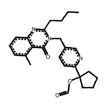 CCCCc1nc2cccc(C)c2c(=O)n1Cc1ccc(C2(OC=O)CCCC2)nc1